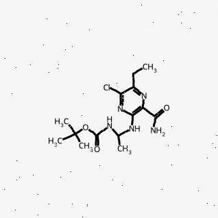 CCc1nc(C(N)=O)c(NC(C)NC(=O)OC(C)(C)C)nc1Cl